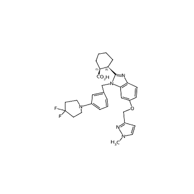 Cn1ccc(COc2ccc3nc([C@@H]4CCCC[C@@H]4C(=O)O)n(Cc4cccc(N5CCC(F)(F)CC5)c4)c3c2)n1